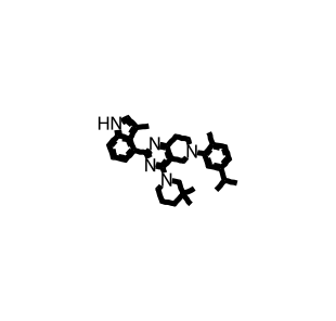 Cc1ccc(C(C)C)cc1N1CCc2nc(-c3cccc4[nH]cc(C)c34)nc(N3CCCC(C)(C)C3)c2C1